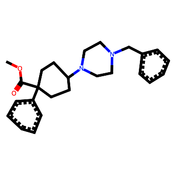 COC(=O)C1(c2ccccc2)CCC(N2CCN(Cc3ccccc3)CC2)CC1